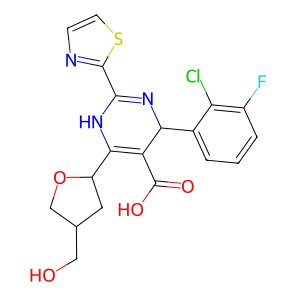 O=C(O)C1=C(C2CC(CO)CO2)NC(c2nccs2)=NC1c1cccc(F)c1Cl